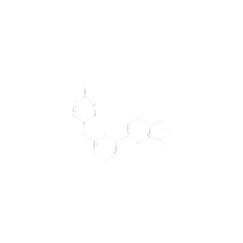 Fc1ccc(Nc2nccc(-c3ccc4cn[nH]c4c3)n2)nc1